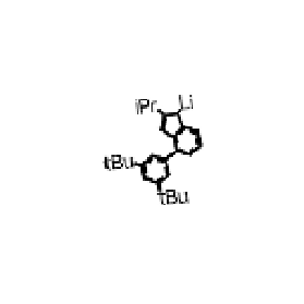 [Li][CH]1C(C(C)C)=Cc2c(-c3cc(C(C)(C)C)cc(C(C)(C)C)c3)cccc21